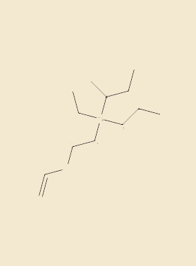 C=COCC[N+](CC)(CCC)C(C)CC